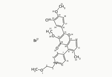 COCC[n+]1ccc(-c2c(C)ccc3oc(-c4ccc(OC)c(Cl)c4)c(OC)c(=O)c23)cc1.[Br-]